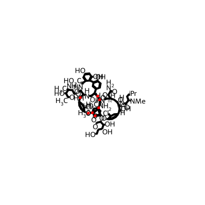 CN[C@H](CC(C)C)C(=O)N[C@H]1C(=O)C[C@@H](CC(N)=O)C(=O)N[C@H]2C(=O)C[C@H]3C(=O)N[C@H](C(=O)N[C@H](C(=O)O)c4cc(O)cc(O)c4-c4cc3ccc4O)[C@H](OC3CC(C)(N)C(O)C(C)O3)c3ccc(c(Cl)c3)Oc3cc2cc(c3OC2OC(CO)C(O)C(O)C2OC2CC(C)(N)C(O)C(C)O2)Oc2ccc(cc2Cl)[C@H]1O